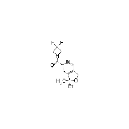 CC[C@@]1(C)OCc2cnc(C(=O)N3CC(F)(F)C3)cc21